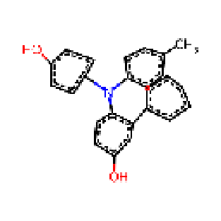 Cc1ccc(N(c2ccc(O)cc2)c2ccc(O)cc2-c2ccccc2)cc1